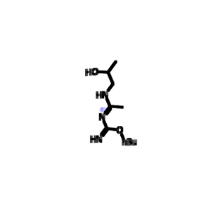 CCCCOC(=N)/N=C(\C)NCC(C)O